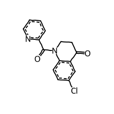 O=C1CCN(C(=O)c2ccccn2)c2ccc(Cl)cc21